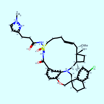 CO[C@H]1/C=C/CCCS(=O)(NC(=O)CCc2ccn(C)n2)=NC(=O)c2ccc3c(c2)N(C[C@@H]2CC[C@H]21)C[C@@]1(CCCc2cc(Cl)ccc21)CO3